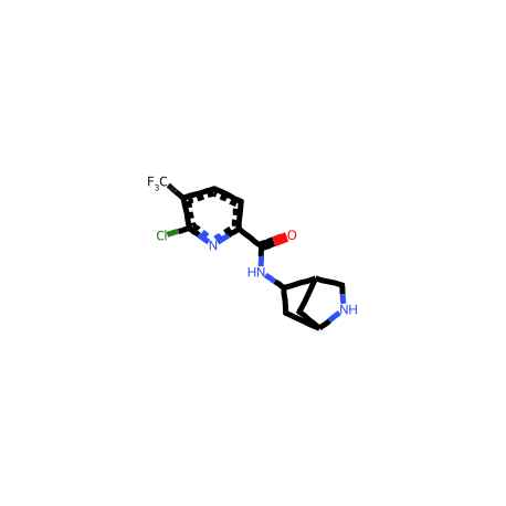 O=C(NC1CC2CC1CN2)c1ccc(C(F)(F)F)c(Cl)n1